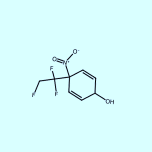 O=[N+]([O-])C1(C(F)(F)CF)C=CC(O)C=C1